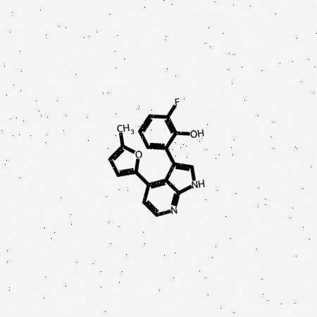 Cc1ccc(-c2ccnc3[nH]cc(-c4cccc(F)c4O)c23)o1